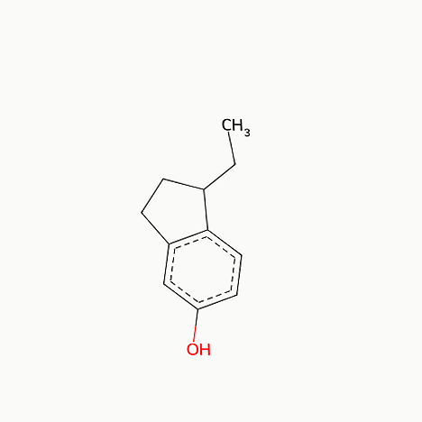 CCC1CCc2cc(O)ccc21